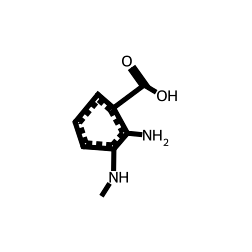 CNc1cccc(C(=O)O)c1N